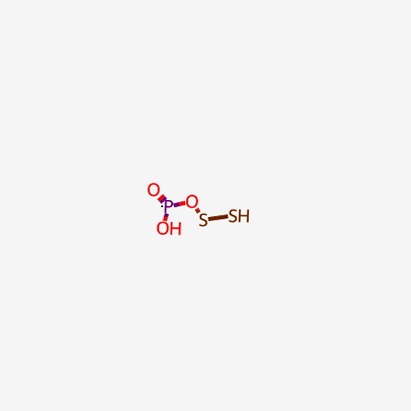 O=[P](O)OSS